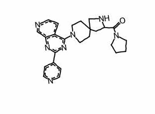 O=C(C1CC2(CCN(c3nc(-c4ccncc4)nc4cnccc34)CC2)CN1)N1CCCC1